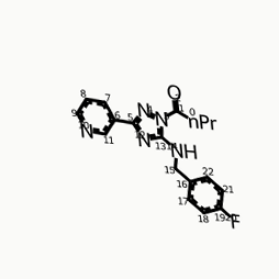 CCCC(=O)n1nc(-c2cccnc2)nc1NCc1ccc(F)cc1